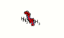 C=C(/C=C\C(=C)c1c2ccccc2c(/C(C)=C/C=C2/C=CC=CC2)c2ccccc12)/C(C)=C/C=C1\Cc2ccc3cc4oc5ccccc5c4cc3c2O1